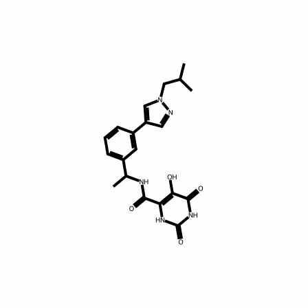 CC(C)Cn1cc(-c2cccc(C(C)NC(=O)c3[nH]c(=O)[nH]c(=O)c3O)c2)cn1